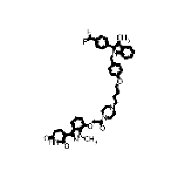 Cc1c(-c2ccc(C(F)F)cc2)n(Cc2ccc(OCCCCN3CCN(C(=O)COc4cccc5c(C6CCC(=O)NC6=O)nn(C)c45)CC3)cc2)c2ccccc12